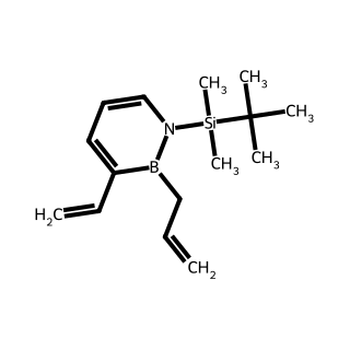 C=CCB1C(C=C)=CC=CN1[Si](C)(C)C(C)(C)C